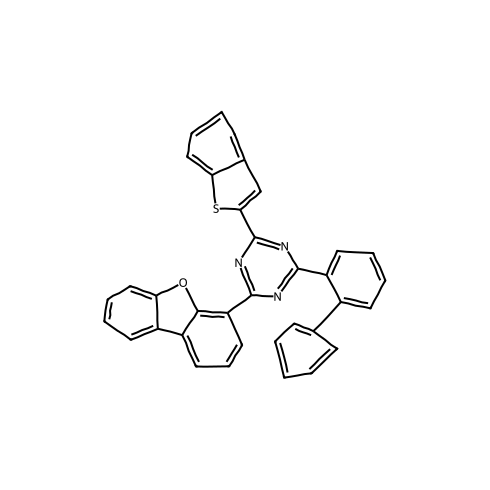 c1ccc(-c2ccccc2-c2nc(-c3cc4ccccc4s3)nc(-c3cccc4c3oc3ccccc34)n2)cc1